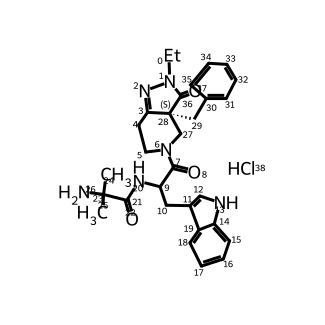 CCN1N=C2CCN(C(=O)C(Cc3c[nH]c4ccccc34)NC(=O)C(C)(C)N)C[C@]2(Cc2ccccc2)C1=O.Cl